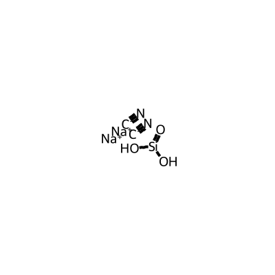 O=[Si](O)O.[C-]#N.[C-]#N.[Na+].[Na+]